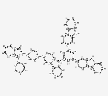 c1ccc(-n2c(-c3ccc(-c4ccc5c(c4)c4ccccc4n5-c4nc(-c5ccc6c(c5)sc5ccccc56)nc(-c5ccc6c(c5)sc5ccccc56)n4)cc3)nc3ccccc32)cc1